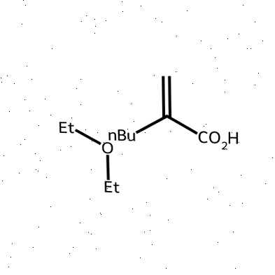 C=C(CCCC)C(=O)O.CCOCC